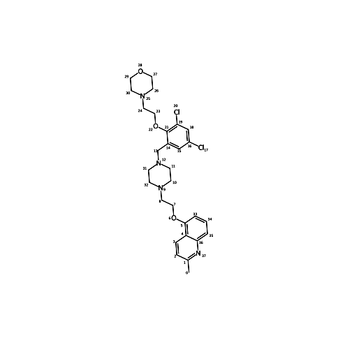 Cc1ccc2c(OCCN3CCN(Cc4cc(Cl)cc(Cl)c4OCCN4CCOCC4)CC3)cccc2n1